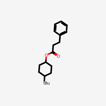 CC(C)(C)C1CCC(OC(=O)CCc2ccccc2)CC1